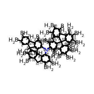 Bc1cc2c(cc1B)C(C)(C)c1c(B)c(N(c3cc(B)c(B)c4c3-c3ccc(B)c(B)c3C4)c3c(B)cc(C4(c5c(B)c(B)c(B)c(B)c5B)c5c(B)c(B)c(B)c(B)c5-c5c(B)c(B)c(B)c(B)c54)c(B)c3B)cc(B)c1-2